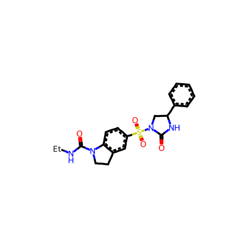 CCNC(=O)N1CCc2cc(S(=O)(=O)N3CC(c4ccccc4)NC3=O)ccc21